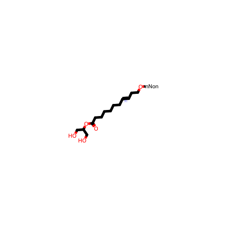 CCCCCCCCCOCC/C=C/CCCCCCC(=O)OC(CO)CO